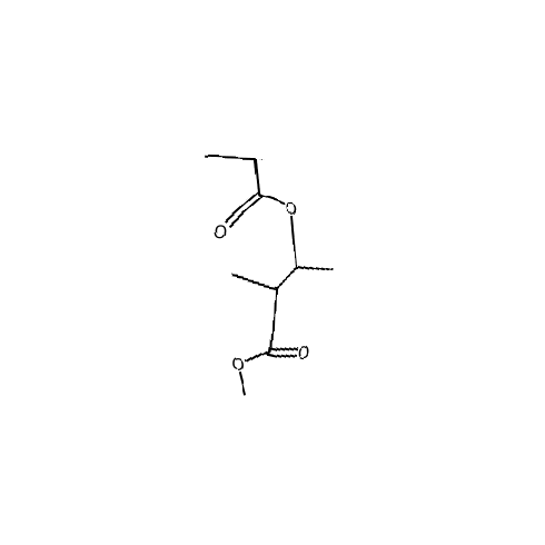 C[CH]C(=O)OC(C)C(C)C(=O)OC